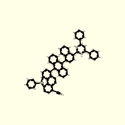 N#Cc1ccc2c3c1ccc1c(-c4c5ccccc5c(-c5ccc(-c6nc(-c7ccccc7)cc(-c7ccccc7)n6)c6ccccc56)c5ccccc45)ccc(c13)n2-c1ccccc1